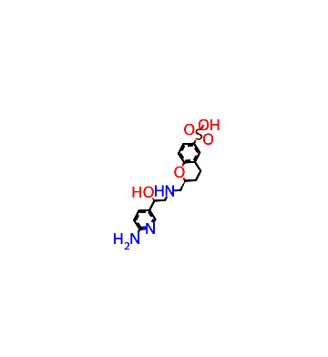 Nc1ccc([C@H](O)CNC[C@@H]2CCc3cc(S(=O)(=O)O)ccc3O2)cn1